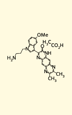 CC(=O)O.COc1ccc2c(c1)c(-c1nc3cc4nc(C)c(C)nc4cc3[nH]c1=O)cn2CCCN